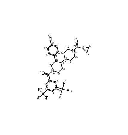 O=C(c1cc(C(F)(F)F)cc(C(F)(F)F)c1)N1CCC(N2CCN(C(=O)C3CC3)CC2)C(c2ccc(Cl)cc2)C1